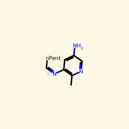 CCCCC/C=N\c1cc(N)cnc1C